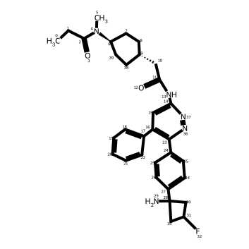 CCC(=O)N(C)[C@H]1CC[C@H](CC(=O)Nc2cc(-c3ccccc3)c(-c3ccc(C4(N)CC(F)C4)cc3)nn2)CC1